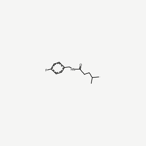 [CH2]C(C)CCC(=O)NCc1ccc(F)cc1